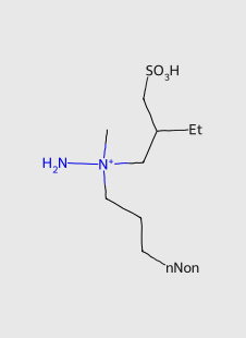 CCCCCCCCCCCC[N+](C)(N)CC(CC)CS(=O)(=O)O